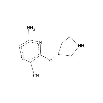 N#Cc1ncc(N)nc1O[C@@H]1CCNC1